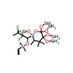 C=C[Si](C)(C)OC(C(F)(F)C(C)F)[Si]1(O[SiH3])OC(O[SiH3])(O[SiH3])C(O[SiH3])(O[SiH3])C(C)(C)C1C